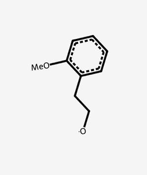 COc1ccccc1CC[O]